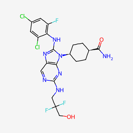 NC(=O)[C@H]1CC[C@@H](n2c(Nc3c(F)cc(Cl)cc3Cl)nc3cnc(NCC(F)(F)CO)nc32)CC1